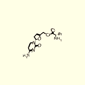 CC(C)[C@H](N)C(=O)OCC1=CC[C@@H](n2ccc(N)nc2=O)O1